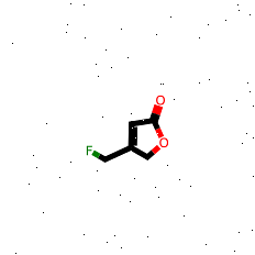 O=C1C=C(CF)CO1